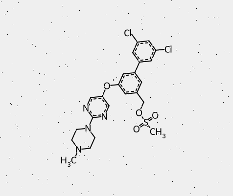 CN1CCN(c2ncc(Oc3cc(COS(C)(=O)=O)cc(-c4cc(Cl)cc(Cl)c4)c3)cn2)CC1